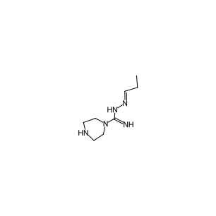 CC/C=N/NC(=N)N1CCNCC1